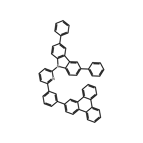 c1ccc(-c2ccc3c(c2)c2cc(-c4ccccc4)ccc2n3-c2cccc(-c3cccc(-c4ccc5c6ccccc6c6ccccc6c5c4)c3)n2)cc1